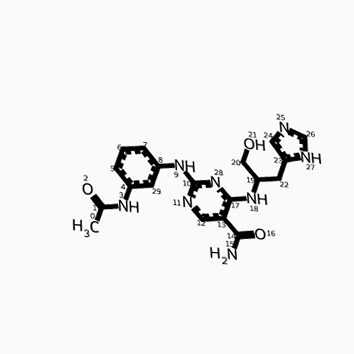 CC(=O)Nc1cccc(Nc2ncc(C(N)=O)c(NC(CO)Cc3cnc[nH]3)n2)c1